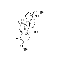 CC[C@]1(OC(C)C)CC[C@H]2[C@@H]3[C@H](C)C=C4[C@H](C)[C@@H](OC(C)C)CC[C@]4(C=O)[C@H]3CC[C@@]21C